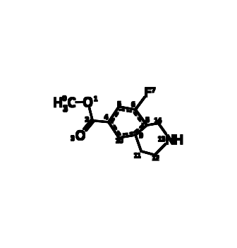 COC(=O)c1cc(F)c2c(c1)CCNC2